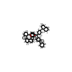 c1ccc2c(-c3ccc(N(c4ccc(-c5cccc6oc7ccc8ccc9oc%10ccccc%10c9c8c7c56)cc4)c4ccc5c(c4)oc4ccccc45)cc3)cccc2c1